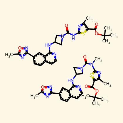 Cc1nc(-c2ccc3ccnc(NC4CN(C(=O)N(C)c5nc(C)c(C(=O)OC(C)(C)C)s5)C4)c3c2)no1.Cc1nc(-c2ccc3ccnc(NC4CN(C(=O)Nc5nc(C)c(C(=O)OC(C)(C)C)s5)C4)c3c2)no1